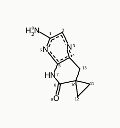 Nc1cnc2c(n1)NC(=O)C1(CC1)C2